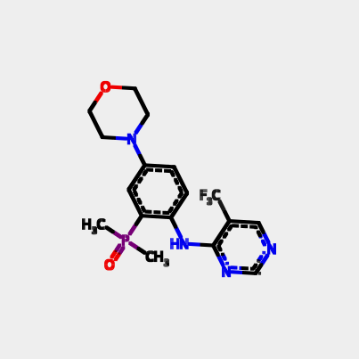 CP(C)(=O)c1cc(N2CCOCC2)ccc1Nc1n[c]ncc1C(F)(F)F